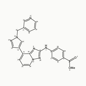 COC(=O)c1ccc(Nc2nc3c(-c4cnn(Cc5cccnc5)c4)cccn3n2)cc1